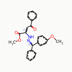 COC(=O)/C(=C/C(=O)c1ccccc1)N/N=C(/c1ccccc1)c1ccc(OC)cc1